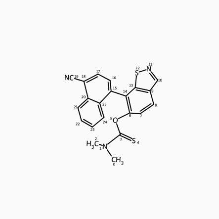 CN(C)C(=S)Oc1ccc2cnsc2c1-c1ccc(C#N)c2ccccc12